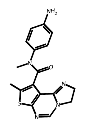 Cc1sc2c(c1C(=O)N(C)c1ccc(N)cc1)C1=NCCN1C=N2